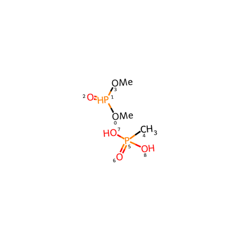 CO[PH](=O)OC.CP(=O)(O)O